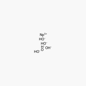 [Np+5].[OH-].[OH-].[OH-].[OH-].[OH-]